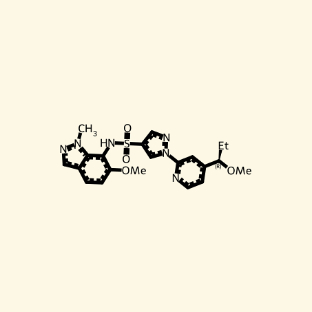 CC[C@@H](OC)c1ccnc(-n2cc(S(=O)(=O)Nc3c(OC)ccc4cnn(C)c34)cn2)c1